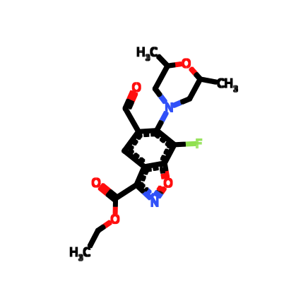 CCOC(=O)c1noc2c(F)c(N3CC(C)OC(C)C3)c(C=O)cc12